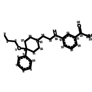 CCCOC1(c2ccccc2)CCN(CCNc2cccc(C(N)=O)c2)CC1